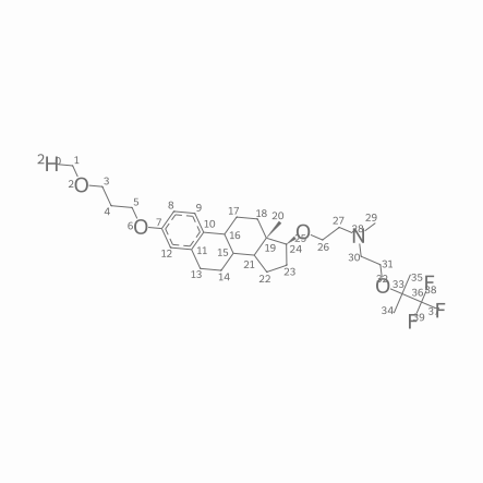 [2H]COCCCOc1ccc2c(c1)CCC1C2CC[C@@]2(C)C1CC[C@@H]2OCCN(C)CCOC(C)(C)C(F)(F)F